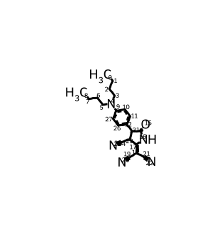 CCCCN(CCCC)c1ccc(C2C(=O)NC(=C(C#N)C#N)C2C#N)cc1